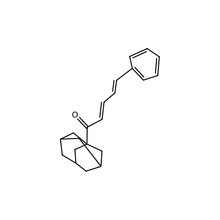 O=C(C=CC=Cc1ccccc1)C12CC3CC(CC(C3)C1)C2